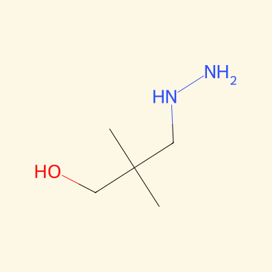 CC(C)(CO)CNN